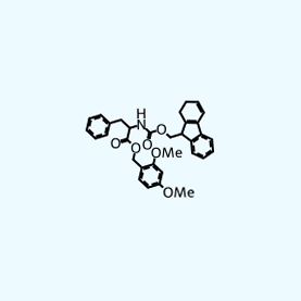 COc1ccc(COC(=O)C(Cc2ccccc2)NC(=O)OCC2C3=C(C=CCC3)c3ccccc32)c(OC)c1